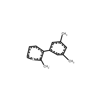 [CH2]c1ccccc1-c1cc(C)cc(C)c1